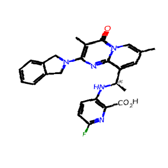 Cc1cc([C@@H](C)Nc2ccc(F)nc2C(=O)O)c2nc(N3Cc4ccccc4C3)c(C)c(=O)n2c1